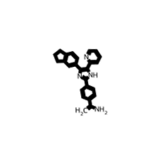 C=C(N)c1ccc(-c2nc(-c3ccc4c(c3)CCC4)c(-c3ccccn3)[nH]2)cc1